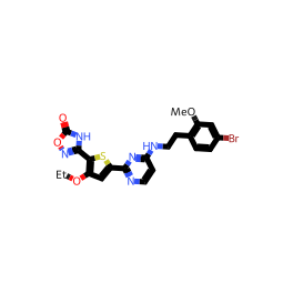 CCOc1cc(-c2nccc(NCCc3ccc(Br)cc3OC)n2)sc1-c1noc(=O)[nH]1